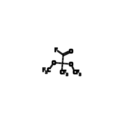 O=C(F)C(OC(F)(F)F)(OC(F)(F)F)C(F)(F)F